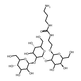 NCCCNC(=O)NCCO[C@H]1OC(CO)[C@@H](O)C(O)C1O[C@H]1OC(CO)[C@@H](O)C(O)C1O[C@@H]1OC(CO)[C@@H](O)C(O)C1O